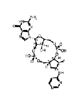 Nc1nc2c(ncn2[C@@H]2OC3COP(=O)(O)O[C@@H]4[C@@H](COP(=O)(O)O[C@@H]2[C@@H]3O)C[C@@H](Nc2ccncn2)[C@@H]4F)c(=O)[nH]1